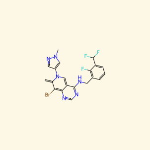 C=C1C(Br)=c2ncnc(NCc3cccc(C(F)F)c3F)c2=CN1c1cnn(C)c1